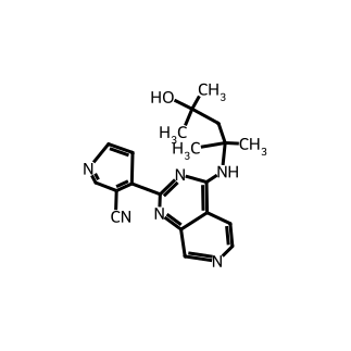 CC(C)(O)CC(C)(C)Nc1nc(-c2ccncc2C#N)nc2cnccc12